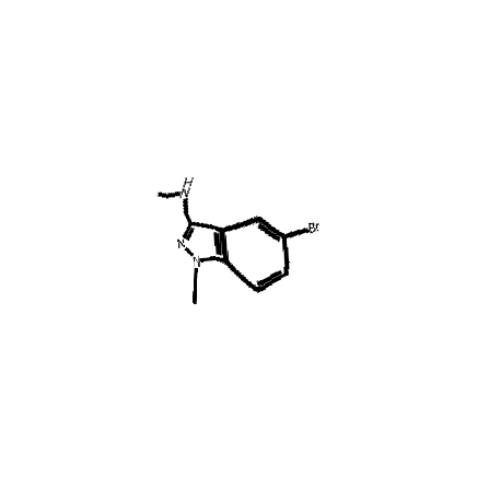 CNc1nn(C)c2ccc(Br)cc12